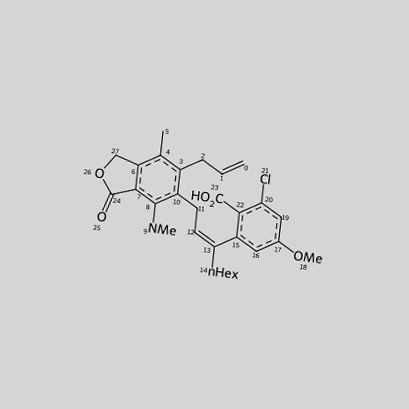 C=CCc1c(C)c2c(c(NC)c1CC=C(CCCCCC)c1cc(OC)cc(Cl)c1C(=O)O)C(=O)OC2